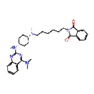 CN(C)c1nc(N[C@H]2CC[C@@H](NCCCCCCN3C(=O)c4ccccc4C3=O)CC2)nc2ccccc12